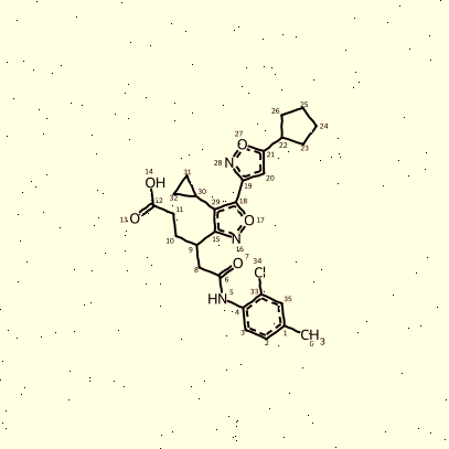 Cc1ccc(NC(=O)CC(CCC(=O)O)c2noc(-c3cc(C4CCCC4)on3)c2C2CC2)c(Cl)c1